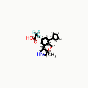 C[C@]12CNC[C@H]1c1cccc(C3CCCC3)c1CO2.O=C(O)C(F)(F)F